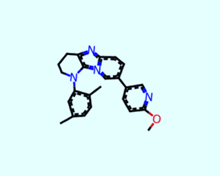 COc1ccc(-c2ccc3nc4c(n3c2)N(c2cc(C)ccc2C)CCC4)cn1